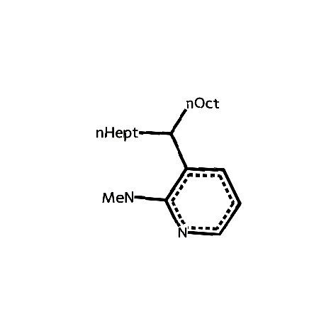 CCCCCCCCC(CCCCCCC)c1cccnc1NC